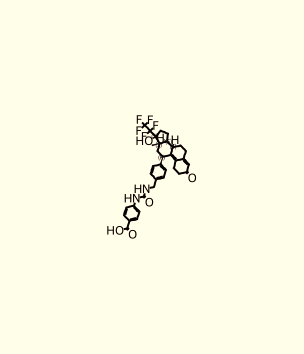 C[C@]12C[C@H](c3ccc(CNC(=O)Nc4ccc(C(=O)O)cc4)cc3)C3=C4CCC(=O)C=C4CC[C@H]3[C@@H]1CC[C@@]2(O)C(F)(F)C(F)(F)F